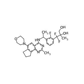 Cc1nc(NC(C)c2cccc(C(F)(F)C(C)(O)CO)c2F)c2cc(N3CCOCC3)c3c(c2n1)CCC3